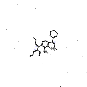 C=C/C=C(C=C)/C(=C/CC)c1ccc(/C(=C\CC)C2=CCCC=C2)c(N)c1N